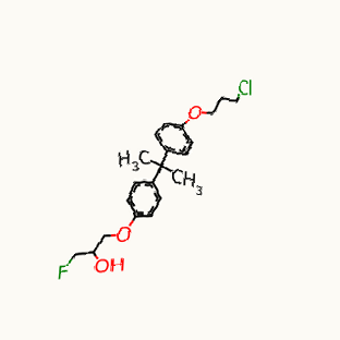 CC(C)(c1ccc(OCCCCl)cc1)c1ccc(OCC(O)CF)cc1